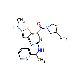 CNc1cc2nc(NC(C)c3ccccn3)nc(C(=O)N3CCC(C)C3)c2s1